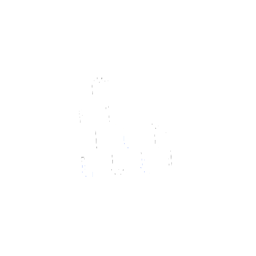 CN/C(Nc1ncc(Cl)cc1[N+](=O)[O-])=C(\C(C)=N)c1c(F)cc(OC)cc1F